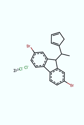 CC(C1=CC=CC1)C1c2cc(Br)ccc2-c2ccc(Br)cc21.[Cl-].[Cl-].[Zr+2]